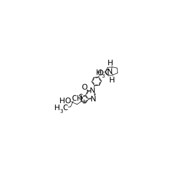 CCC(C)(O)Cc1cc2ncn(-c3ccc(OC4C[C@H]5CC[C@@H](C4)N5C)cc3)c(=O)c2s1